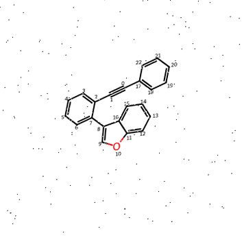 C(#Cc1ccccc1-c1coc2ccccc12)c1ccccc1